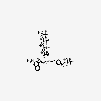 CN(C)c1ccc(CCCOCCn2cnc3c(N)nc4ccccc4c32)cc1.O=C(O)C(F)(F)F.O=C(O)C(F)(F)F.O=C(O)C(F)(F)F.O=C(O)C(F)(F)F.O=C(O)C(F)(F)F